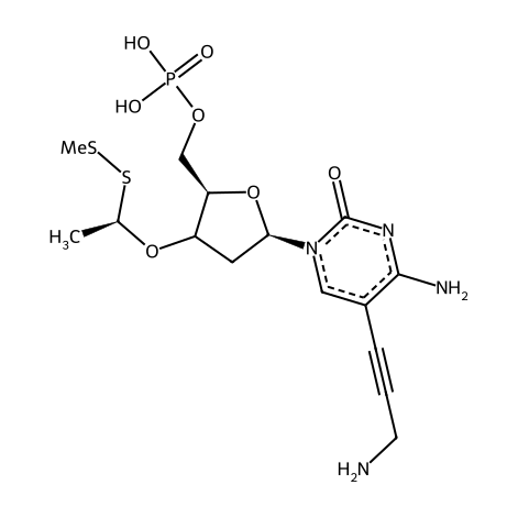 CSS[C@H](C)OC1C[C@H](n2cc(C#CCN)c(N)nc2=O)O[C@@H]1COP(=O)(O)O